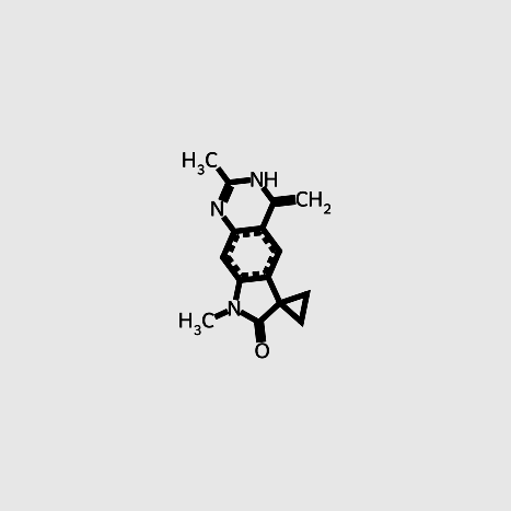 C=C1NC(C)=Nc2cc3c(cc21)C1(CC1)C(=O)N3C